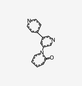 O=c1ccccn1-c1cncc(-c2ccncc2)c1